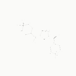 CC(=O)N(C1CCC(C)(C)CC1)[C@@H]1CN[C@H](C(=O)N2CCNCC2)C1